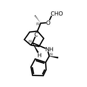 C[C@H](N[C@H]1CC2([C@H](C)OC=O)CCC1CC2)c1ccccc1